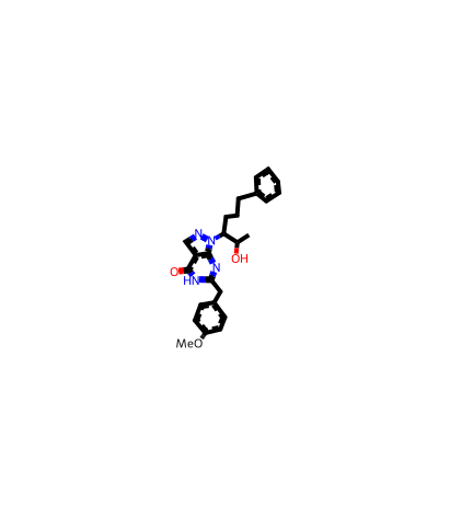 COc1ccc(Cc2nc3c(cnn3C(CCCc3ccccc3)C(C)O)c(=O)[nH]2)cc1